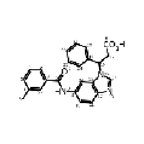 Cc1cccc(C(=O)Nc2ccc3ncn(C(CC(=O)O)c4ccccc4)c3c2)c1